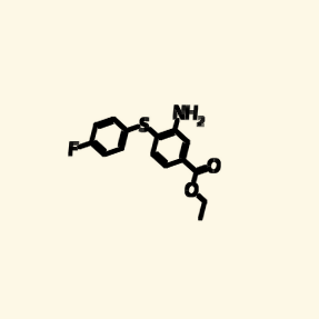 CCOC(=O)c1ccc(Sc2ccc(F)cc2)c(N)c1